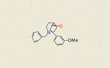 COc1cccc(C2C(=O)C3CC[N+]2(Cc2ccccc2)CC3)c1